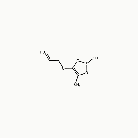 C=CCOC1=C(C)OP(O)O1